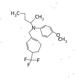 CCCC(C)N(CC1=CCCC(C(F)(F)F)C=C1)c1ccc(OC)cc1